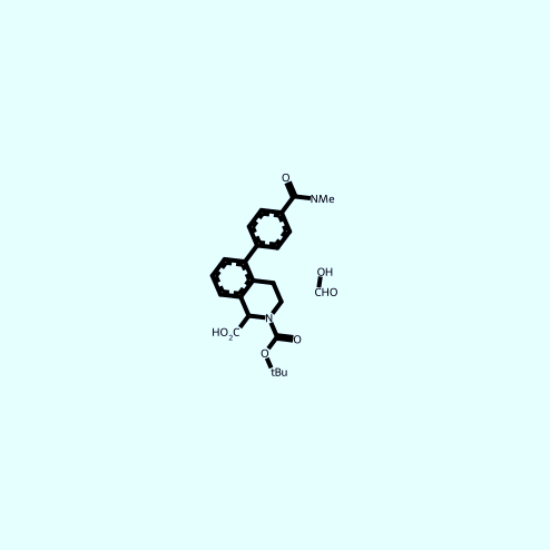 CNC(=O)c1ccc(-c2cccc3c2CCN(C(=O)OC(C)(C)C)C3C(=O)O)cc1.O=CO